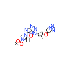 Cc1cc(Nc2ncnc3cnc4c(c23)OC[C@H]2CN(C(=O)OC(C)(C)C)CCN42)ccc1Oc1ccn2ncnc2c1